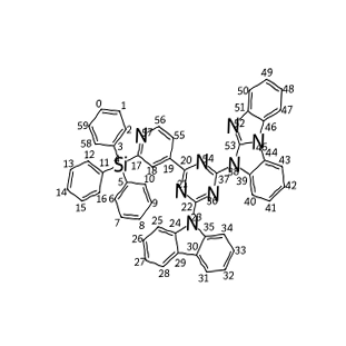 c1ccc([Si](c2ccccc2)(c2ccccc2)c2cc(-c3nc(-n4c5ccccc5c5ccccc54)nc(-n4c5ccccc5n5c6ccccc6nc45)n3)ccn2)cc1